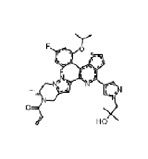 C=CC(=O)N1Cc2cc(-c3nc(-c4cnn(CC(C)(C)O)c4)c4ccsc4c3-c3c(F)cc(F)cc3OC(C)C)nn2C[C@H]1C